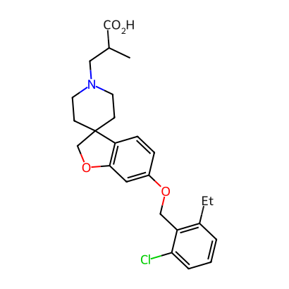 CCc1cccc(Cl)c1COc1ccc2c(c1)OCC21CCN(CC(C)C(=O)O)CC1